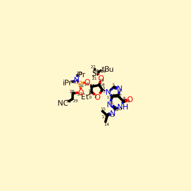 CC[C@H]1O[C@@H](n2cnc3c(=O)[nH]c(N=C(C)C)nc32)C(O[Si](C)(C)C(C)(C)C)[C@H]1OP(OCCC#N)N(C(C)C)C(C)C